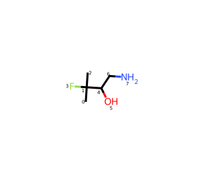 CC(C)(F)C(O)CN